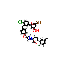 Cc1ccc(F)c([C@@H]2CCC(N3CC(Oc4ccc(Cc5cc([C@H]6CC(O)C[C@@H](S)O6)ccc5Cl)cc4)C3)CO2)c1